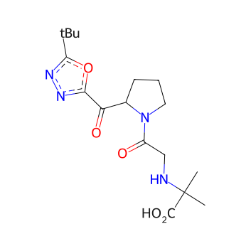 CC(C)(NCC(=O)N1CCCC1C(=O)c1nnc(C(C)(C)C)o1)C(=O)O